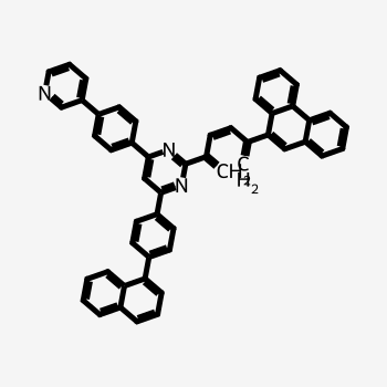 C=C(/C=C\C(=C)c1cc2ccccc2c2ccccc12)c1nc(-c2ccc(-c3cccnc3)cc2)cc(-c2ccc(-c3cccc4ccccc34)cc2)n1